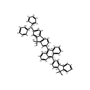 CC1(C)c2ccccc2-c2cc(-c3c4ccccc4c(-c4ccc5c(c4)C(C)(C)c4cc(N(c6ccccc6)c6ccccc6)ccc4-5)c4ccccc34)ccc21